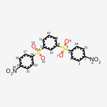 O=[N+]([O-])c1ccc(S(=O)(=O)c2cccc(S(=O)(=O)c3ccc([N+](=O)[O-])cc3)c2)cc1